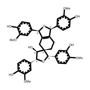 COc1ccc([C@@H]2O[C@H](c3ccc(O)c(OC)c3)[C@@H](O)[C@@]23CCC2=C(C3)[C@@H](c3ccc(O)c(OC)c3)O[C@H]2c2ccc(O)c(OC)c2)cc1O